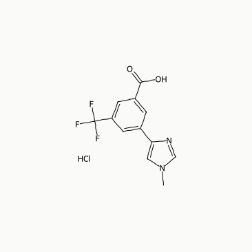 Cl.Cn1cnc(-c2cc(C(=O)O)cc(C(F)(F)F)c2)c1